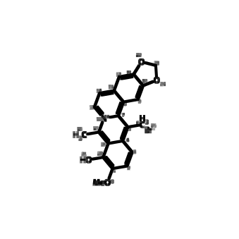 COc1ccc2c(C)c3c4cc5c(cc4cc[n+]3c(C)c2c1O)OCO5.[Br-]